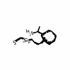 CC(N)c1ccccc1C[CH2][Sn][CH]=S